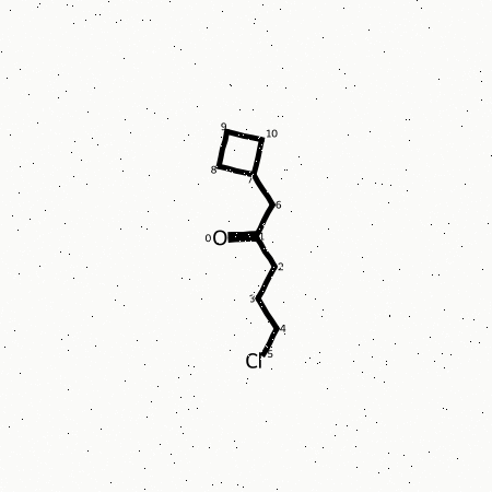 O=C(CCCCl)CC1CCC1